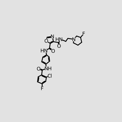 O=C(Nc1ccc(NC(=O)c2ocnc2C(=O)NCCN2CCCC(F)C2)cc1)c1ccc(F)cc1Cl